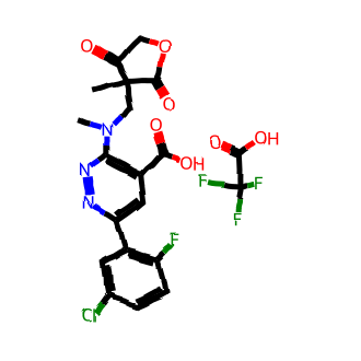 CN(CC1(C)C(=O)COC1=O)c1nnc(-c2cc(Cl)ccc2F)cc1C(=O)O.O=C(O)C(F)(F)F